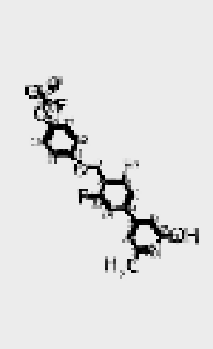 Cc1cc(-c2cc(F)c(COc3ccc(OS(=O)(=O)F)cc3)c(F)c2)cc(O)n1